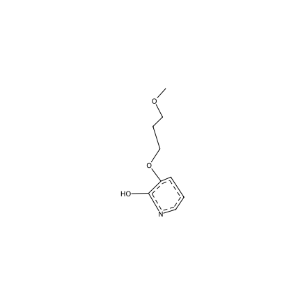 COCCCOc1cccnc1O